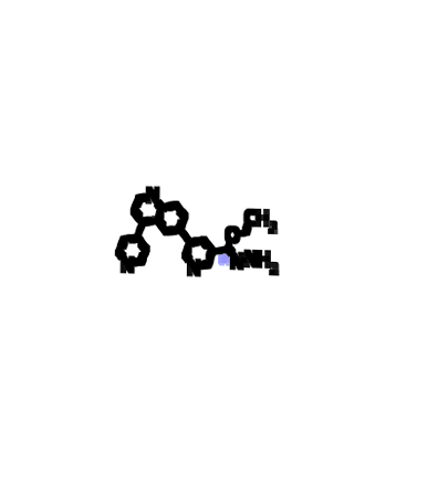 C=CO/C(=N\N)c1cncc(-c2ccc3nccc(-c4ccncc4)c3c2)c1